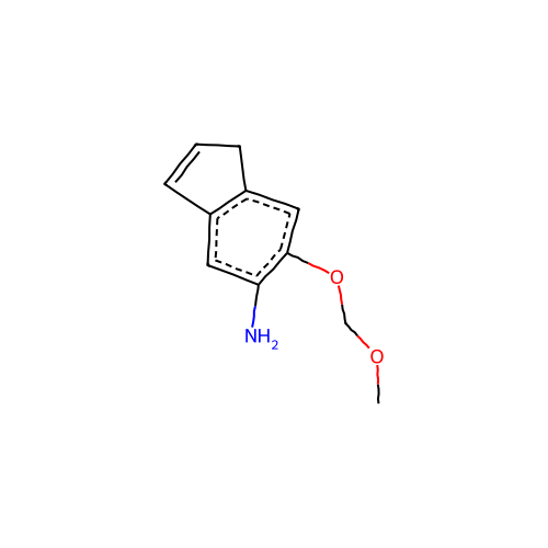 COCOc1cc2c(cc1N)C=CC2